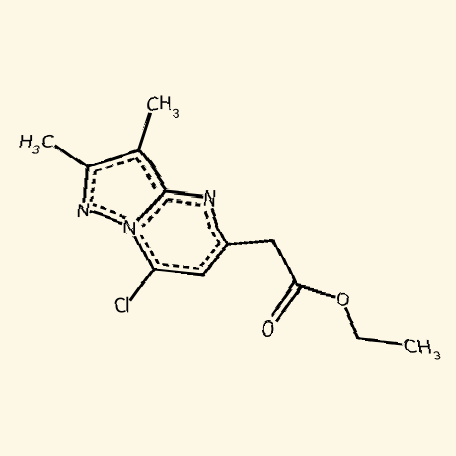 CCOC(=O)Cc1cc(Cl)n2nc(C)c(C)c2n1